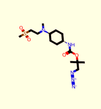 CN(CCS(C)(=O)=O)[C@H]1CC[C@H](NC(=O)OC(C)(C)CN=[N+]=[N-])CC1